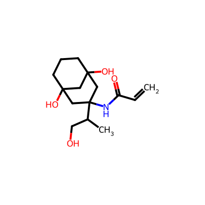 C=CC(=O)NC1(C(C)CO)CC2(O)CCCC(O)(C2)C1